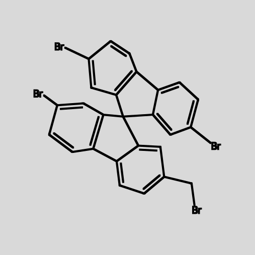 BrCc1ccc2c(c1)C1(c3cc(Br)ccc3-c3ccc(Br)cc31)c1cc(Br)ccc1-2